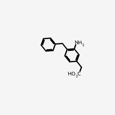 Nc1cc(CC(=O)O)ccc1Cc1ccccc1